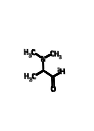 [2H]C(=O)C(C)N(C)C